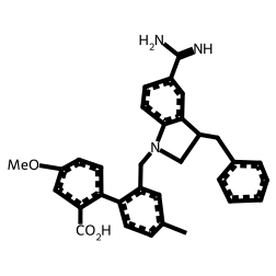 COc1ccc(-c2ccc(C)cc2CN2CC(Cc3ccccc3)c3cc(C(=N)N)ccc32)c(C(=O)O)c1